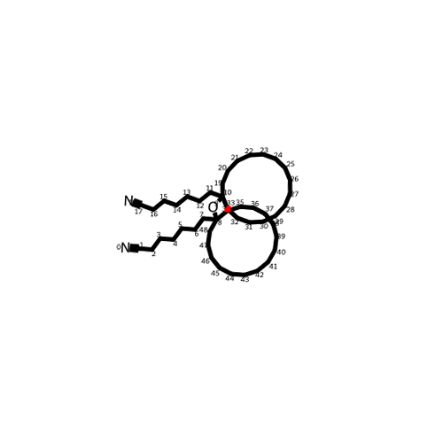 N#CCCCCCCC1(OC2(CCCCCCC#N)CCCCCCCCCCCCCCC2)CCCCCCCCCCCCCCC1